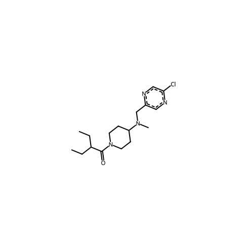 CCC(CC)C(=O)N1CCC(N(C)Cc2cnc(Cl)cn2)CC1